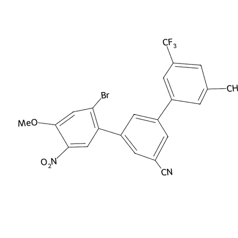 COc1cc(Br)c(-c2cc(C#N)cc(-c3cc(C)cc(C(F)(F)F)c3)c2)cc1[N+](=O)[O-]